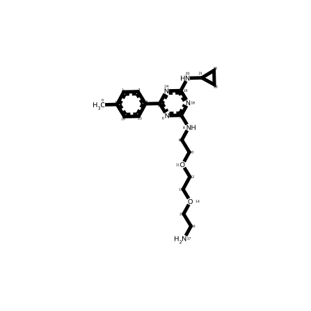 Cc1ccc(-c2nc(NCCOCCOCCN)nc(NC3CC3)n2)cc1